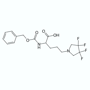 O=C(NC(CCCN1CC(F)(F)C(F)(F)C1)C(=O)O)OCc1ccccc1